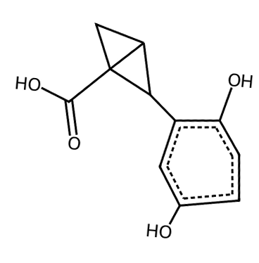 O=C(O)C12CC1C2c1cc(O)ccc1O